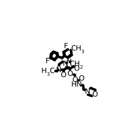 C=NN1/C(=C(\C=O)OCOC(=O)NCCN2CCOCC2)C(=O)N(CC)C[C@@H]1C(C(/C=C\CC)=C/CF)c1cccc(F)c1